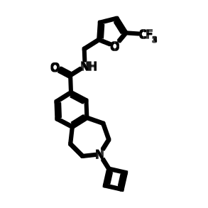 O=C(NCc1ccc(C(F)(F)F)o1)c1ccc2c(c1)CCN(C1=CC=C1)CC2